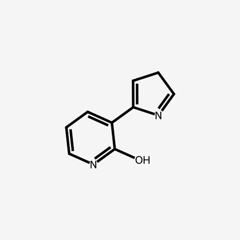 Oc1ncccc1C1=CCC=N1